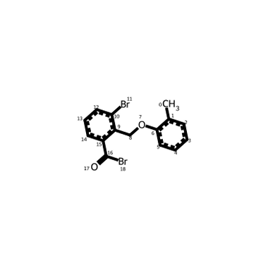 Cc1ccccc1OCc1c(Br)cccc1C(=O)Br